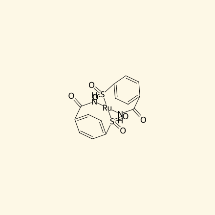 O=C1[NH][Ru]2([NH]C(=O)c3ccc(cc3)[S]2(=O)=O)[S](=O)(=O)c2ccc1cc2